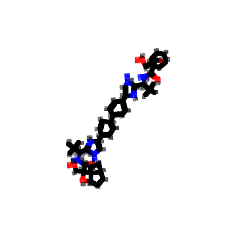 CC(C)(C)[C@H](NC(=O)C1(CO)OC2CCC1CC2)c1nc(-c2ccc(-c3ccc(-c4c[nH]c([C@@H](NC(=O)C5(CO)OC6CCC7CCC765)C(C)(C)C)n4)cc3)cc2)c[nH]1